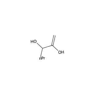 C=C(O)C(O)CCC